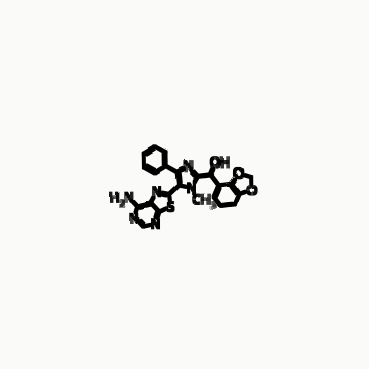 Cn1c(C(O)c2cccc3c2OCO3)nc(-c2ccccc2)c1-c1nc2c(N)ncnc2s1